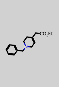 CCOC(=O)CC1=CCN(Cc2ccccc2)CC1